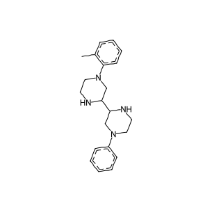 Cc1ccccc1N1CCNC(C2CN(c3ccccc3)CCN2)C1